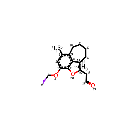 Bc1cc(OCI)c2c3c1CCCC[C@@]3(C)C(CC=O)O2